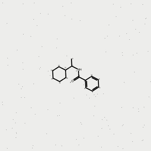 CC(NC(=O)c1ccccc1)C1CCCCC1